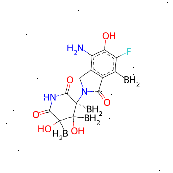 Bc1c(F)c(O)c(N)c2c1C(=O)N([C@]1(B)C(=O)NC(=O)C(B)(O)C1(B)O)C2